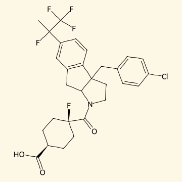 CC(F)(c1ccc2c(c1)CC1N(C(=O)[C@]3(F)CC[C@@H](C(=O)O)CC3)CCC21Cc1ccc(Cl)cc1)C(F)(F)F